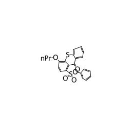 CCCOc1ccc(S(=O)(=O)Oc2ccccc2)c2c(=O)c3ccccc3sc12